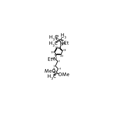 CCN(CCC[Si](C)(OC)OC)c1ccc(N(CC)[Si](C)(C)C)cc1